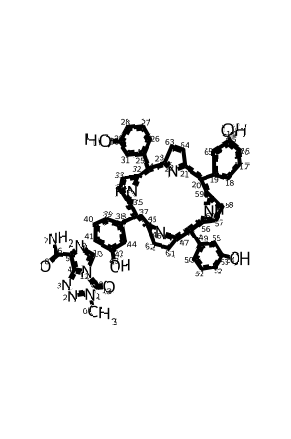 Cn1nnc2c(C(N)=O)ncn2c1=O.Oc1cccc(-c2c3nc(c(-c4cccc(O)c4)c4ccc([nH]4)c(-c4cccc(O)c4)c4nc(c(-c5cccc(O)c5)c5ccc2[nH]5)CC4)C=C3)c1